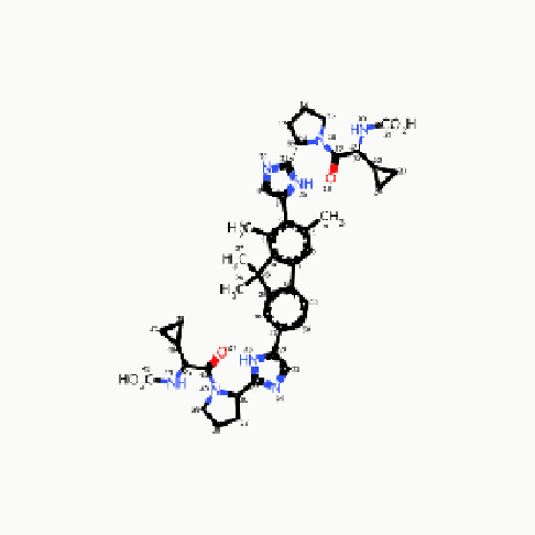 Cc1cc2c(c(C)c1-c1cnc([C@@H]3CCCN3C(=O)[C@@H](NC(=O)O)C3CC3)[nH]1)C(C)(C)c1cc(-c3cnc(C4CCCN4C(=O)C(NC(=O)O)C4CC4)[nH]3)ccc1-2